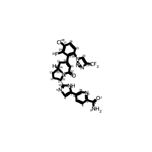 NC(=O)c1ccc(-c2cnc([C@@H]3CC[C@@H]4CC(c5c(-n6cc(C(F)(F)F)nn6)ccc(Cl)c5F)=CC(=O)N43)[nH]2)cn1